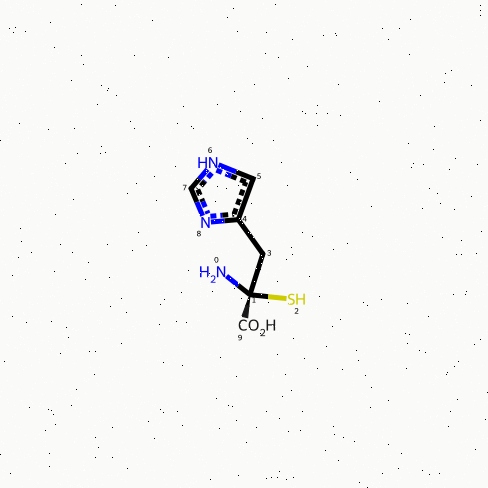 N[C@@](S)(Cc1c[nH]cn1)C(=O)O